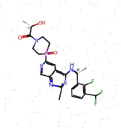 Cc1nc(N[C@H](C)c2cccc(C(F)F)c2F)c2cc(P3(=O)CCN(C(=O)[C@H](C)O)CC3)ncc2n1